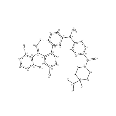 CN(C)C1(C)CCN(C(=O)c2ccc(N(N)c3ncc4c(n3)-c3ccc(Cl)cc3C(c3c(F)cccc3F)=NC4)cc2)CC1